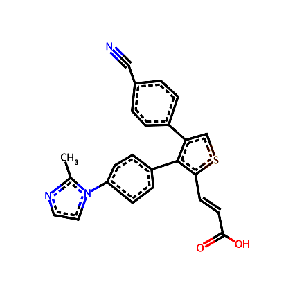 Cc1nccn1-c1ccc(-c2c(-c3ccc(C#N)cc3)csc2/C=C/C(=O)O)cc1